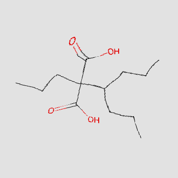 CCCC(CCC)C(CCC)(C(=O)O)C(=O)O